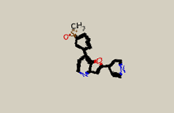 C[S+]([O-])c1cccc(-c2ccnc3cc(-c4ccncc4)oc23)c1